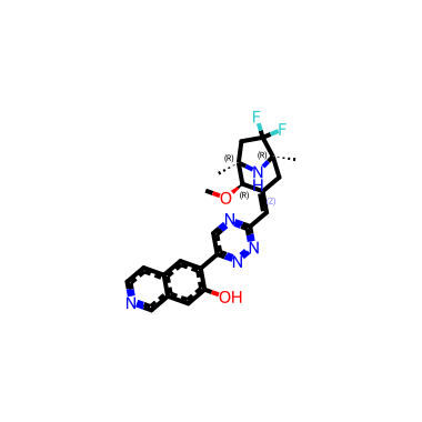 CO[C@@H]1/C(=C\c2ncc(-c3cc4ccncc4cc3O)nn2)C[C@@]2(C)N[C@]1(C)CC2(F)F